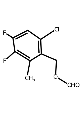 Cc1c(F)c(F)cc(Cl)c1COC=O